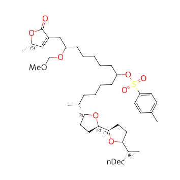 CCCCCCCCCC[C@@H](C)C1CC[C@H]([C@H]2CC[C@H](C(C)CCCCC(CCCCCC(CC3=C[C@H](C)OC3=O)OCOC)OS(=O)(=O)c3ccc(C)cc3)O2)O1